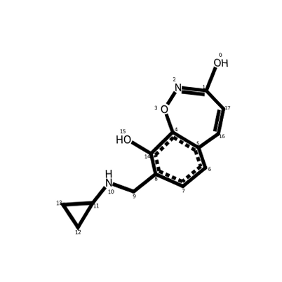 OC1=NOc2c(ccc(CNC3CC3)c2O)C=C1